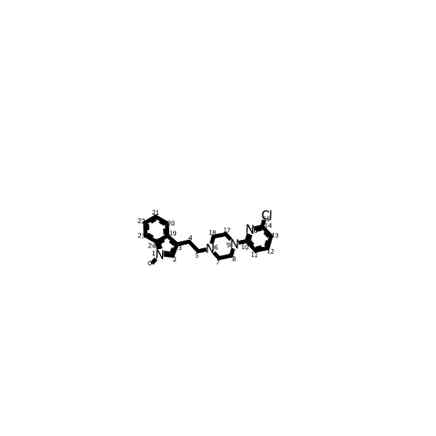 Cn1cc(CCN2CCN(c3cccc(Cl)n3)CC2)c2ccccc21